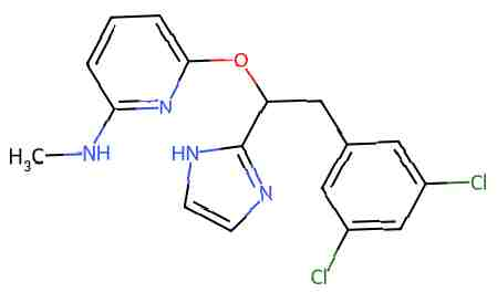 CNc1cccc(OC(Cc2cc(Cl)cc(Cl)c2)c2ncc[nH]2)n1